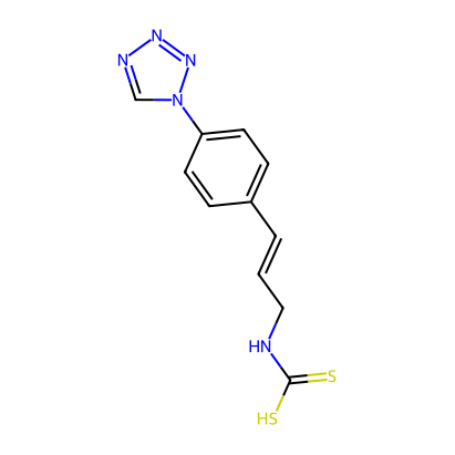 S=C(S)NCC=Cc1ccc(-n2cnnn2)cc1